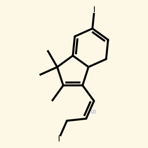 CC1=C(/C=C\CI)C2CC=C(I)C=C2C1(C)C